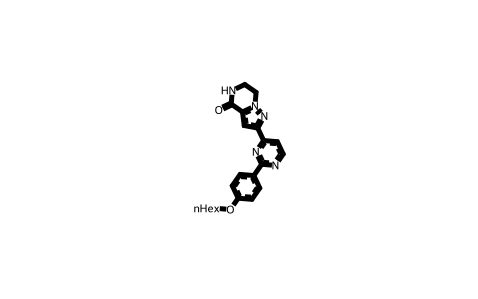 CCCCCCOc1ccc(-c2nccc(-c3cc4n(n3)CCNC4=O)n2)cc1